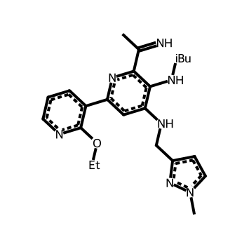 CCOc1ncccc1-c1cc(NCc2ccn(C)n2)c(NC(C)CC)c(C(C)=N)n1